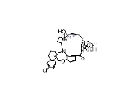 C[C@H](O)C[C@@H]1CC/C=C\[C@H](O)[C@@H]2CCC2CN2C[C@@]3(CCCc4cc(Cl)ccc43)COc3ccc(cc32)C(=O)NS1(=O)=O